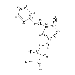 Oc1ccc(OCC(F)(F)C(F)F)cc1OCc1ccccc1